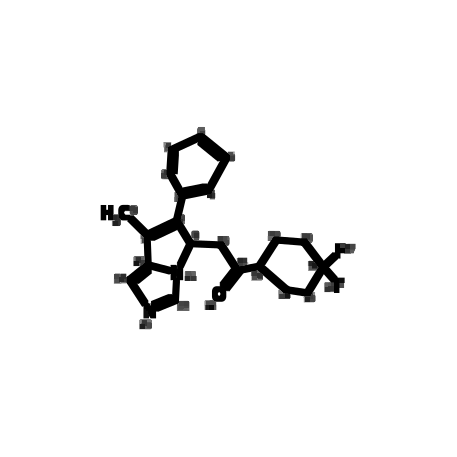 CC1=C(c2ccccc2)C(CC(=O)C2CCC(F)(F)CC2)n2cncc21